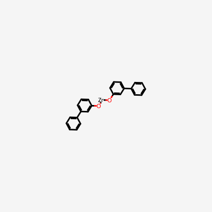 c1ccc(-c2cccc([O][Zr][O]c3cccc(-c4ccccc4)c3)c2)cc1